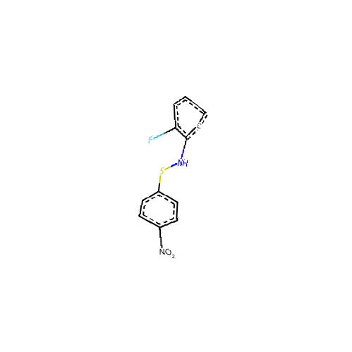 O=[N+]([O-])c1ccc(SNc2ccccc2F)cc1